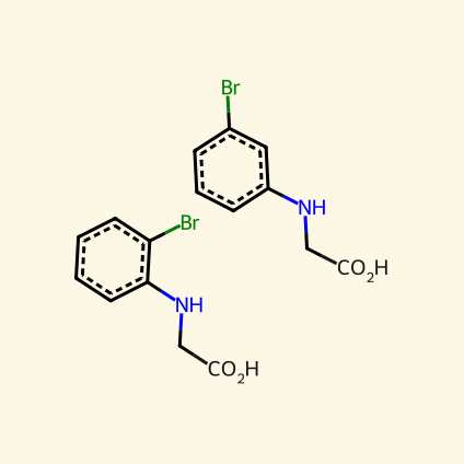 O=C(O)CNc1cccc(Br)c1.O=C(O)CNc1ccccc1Br